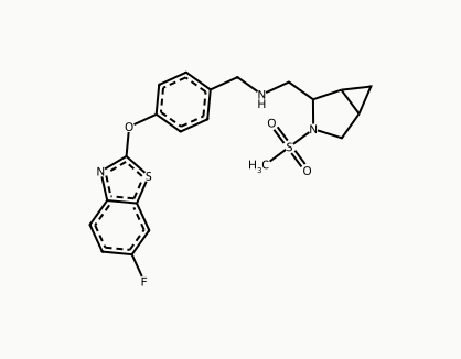 CS(=O)(=O)N1CC2CC2C1CNCc1ccc(Oc2nc3ccc(F)cc3s2)cc1